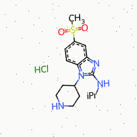 CC(C)Nc1nc2cc(S(C)(=O)=O)ccc2n1C1CCNCC1.Cl